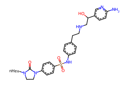 CCCCCCN1CCN(c2ccc(S(=O)(=O)Nc3ccc(CCNCC(O)c4ccc(N)nc4)cc3)cc2)C1=O